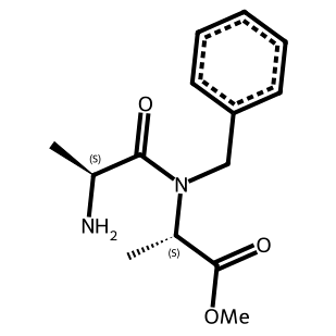 COC(=O)[C@H](C)N(Cc1ccccc1)C(=O)[C@H](C)N